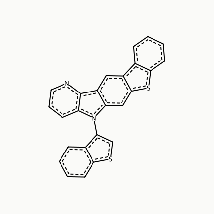 c1ccc2c(-n3c4cc5sc6ccccc6c5cc4c4ncccc43)csc2c1